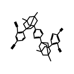 C#Cc1ccc(C23CC4(C)CC(C)(CC(c5ccc(C67CC8(C)CC(C)(C6)CC(c6ccc(C#C)cc6C#C)(C8)C7)cc5)(C4)C2)C3)c(C#C)c1